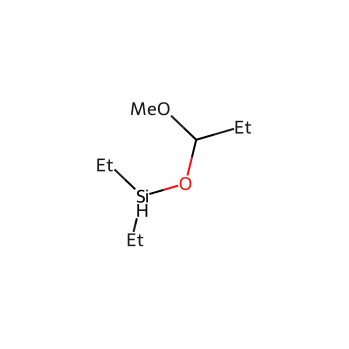 CCC(OC)O[SiH](CC)CC